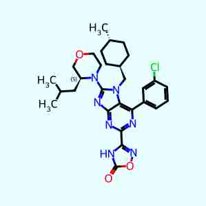 CC(C)C[C@H]1COCCN1c1nc2nc(-c3noc(=O)[nH]3)nc(-c3cccc(Cl)c3)c2n1C[C@H]1CC[C@H](C)CC1